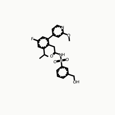 COc1cc(-c2cc(F)cc(C(C)C)c2CC(=O)NS(=O)(=O)c2cccc(CO)c2)ccn1